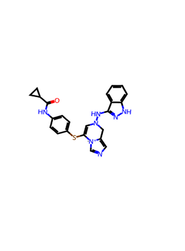 O=C(Nc1ccc(SC2=CN(Nc3n[nH]c4ccccc34)CC3=CN=C[N+]32)cc1)C1CC1